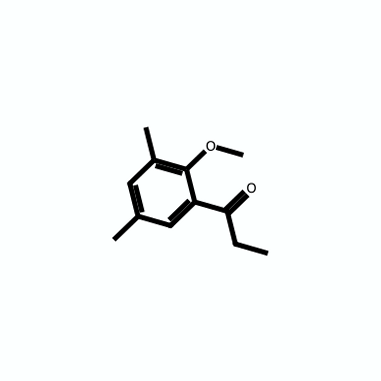 CCC(=O)c1cc(C)cc(C)c1OC